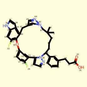 CC1(C)CCCC(c2cccc(CCC(=O)O)c2)n2nccc2-c2cc(ccc2F)Oc2c(F)cc3[nH]ccc3c2Cc2cnn(c2)C1